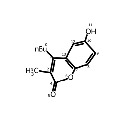 CCCCc1c(C)c(=O)oc2ccc(O)cc12